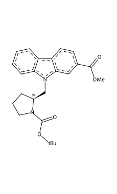 COC(=O)c1ccc2c3ccccc3n(C[C@@H]3CCCN3C(=O)OC(C)(C)C)c2c1